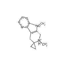 [CH2-][NH+]1C2=C(CC3(CC3)[NH+]([CH2-])C2)c2ncccc21